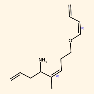 C=C/C=C\OCC/C=C(/C)C(N)CC=C